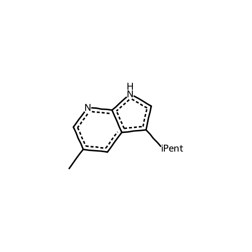 CCCC(C)c1c[nH]c2ncc(C)cc12